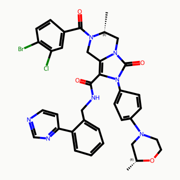 C[C@@H]1CN(c2ccc(-n3c(C(=O)NCc4ccccc4-c4ccncn4)c4n(c3=O)C[C@@H](C)N(C(=O)c3ccc(Br)c(Cl)c3)C4)cc2)CCO1